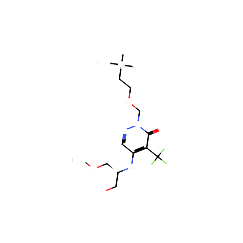 COC[C@H](CO)Nc1cnn(COCC[Si](C)(C)C)c(=O)c1C(F)(F)F